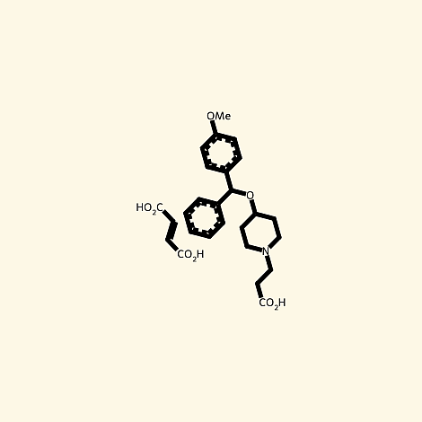 COc1ccc(C(OC2CCN(CCC(=O)O)CC2)c2ccccc2)cc1.O=C(O)/C=C/C(=O)O